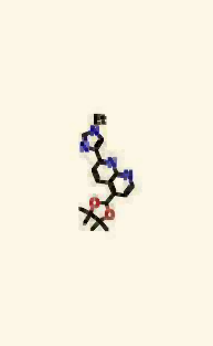 CCn1cnc(-c2ccc3c(C4OC(C)(C)C(C)(C)O4)ccnc3n2)c1